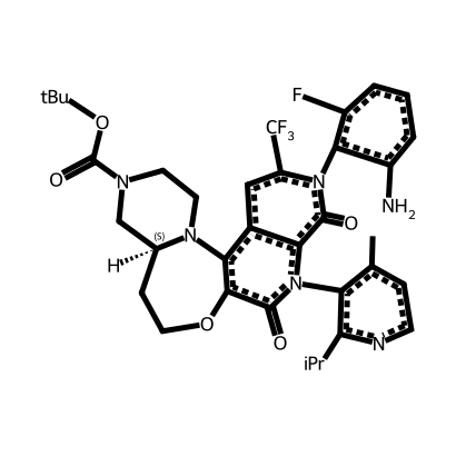 Cc1ccnc(C(C)C)c1-n1c(=O)c2c(c3cc(C(F)(F)F)n(-c4c(N)cccc4F)c(=O)c31)N1CCN(C(=O)OC(C)(C)C)C[C@@H]1CCO2